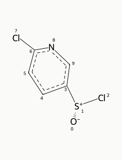 [O-][S@@+](Cl)c1ccc(Cl)nc1